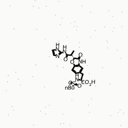 CCCCS(=O)(=O)N[C@@H](Cc1ccc2c(c1)NC(=O)[C@@H](C(C)C(=O)Nc1ncc[nH]1)O2)C(=O)O